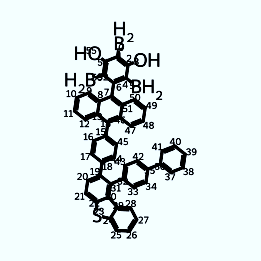 Bc1c(O)c(B)c(-c2c3ccccc3c(-c3ccc(-c4ccc5sc6ccccc6c5c4-c4ccc(-c5ccccc5)cc4)cc3)c3ccccc23)c(B)c1O